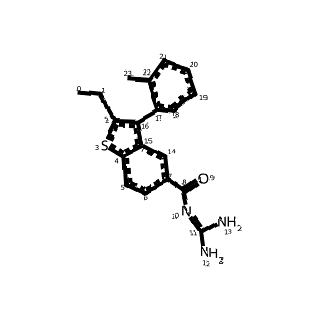 CCc1sc2ccc(C(=O)N=C(N)N)cc2c1-c1ccccc1C